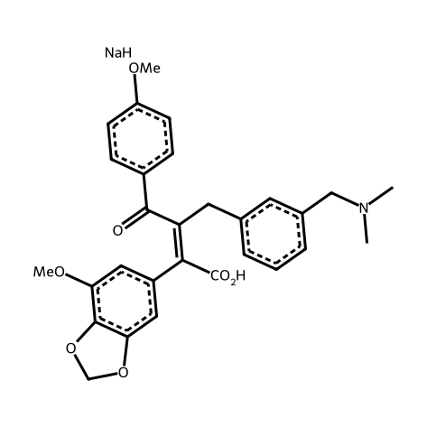 COc1ccc(C(=O)/C(Cc2cccc(CN(C)C)c2)=C(/C(=O)O)c2cc(OC)c3c(c2)OCO3)cc1.[NaH]